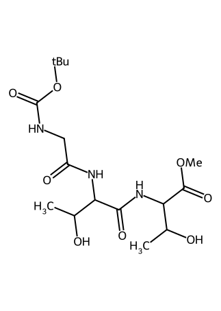 COC(=O)C(NC(=O)C(NC(=O)CNC(=O)OC(C)(C)C)C(C)O)C(C)O